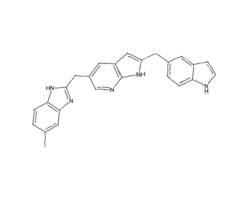 Cc1ccc2[nH]c(Cc3cnc4[nH]c(Cc5ccc6[nH]ccc6c5)cc4c3)nc2c1